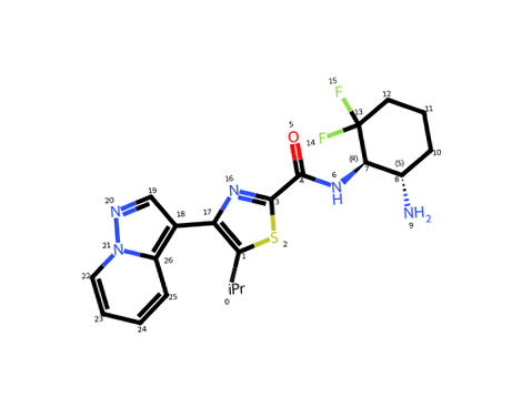 CC(C)c1sc(C(=O)N[C@@H]2[C@@H](N)CCCC2(F)F)nc1-c1cnn2ccccc12